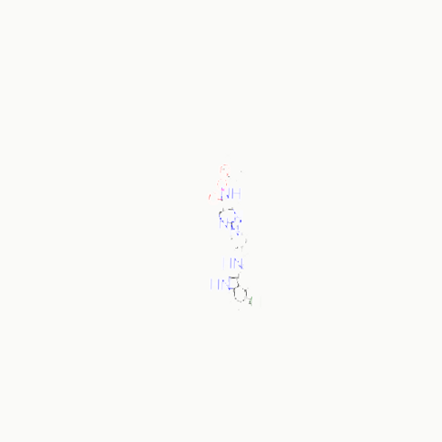 O=C(NOC1CCCCO1)c1cnc(N2CCC(CNCc3c[nH]c4ccc(Cl)cc34)CC2)nc1